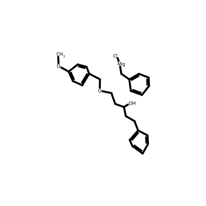 COc1ccc(COCCC(O)CCc2ccccc2)cc1.[Cl][Mg][CH2]c1ccccc1